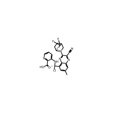 Cc1cc([C@@](C)(Cl)Nc2cccnc2C(=O)O)c2nc(N3CC4CCC3CC4(F)F)c(C#N)nc2c1